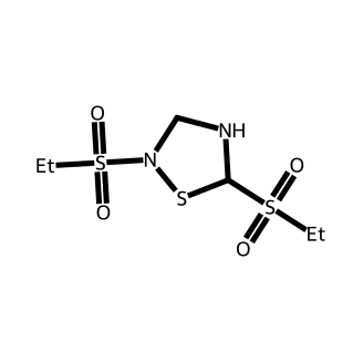 CCS(=O)(=O)C1NCN(S(=O)(=O)CC)S1